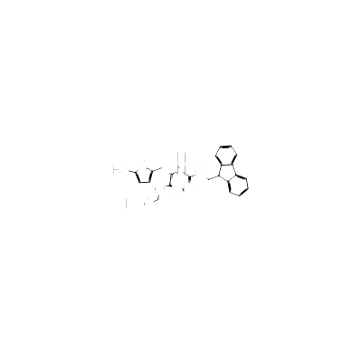 CCOC(=O)[C@H](Cc1ccc(Br)s1)NC(=O)OCC1c2ccccc2-c2ccccc21